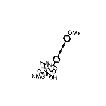 CNC(=O)NC(C)(C(F)F)[C@H](NC(=O)c1ccc(C#CC#Cc2ccc(OC)cc2)cc1)C(=O)NO